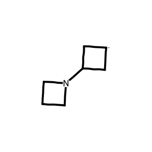 [CH]1CC(N2CCC2)C1